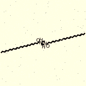 CCC=CCC=CCC=CCC=CCC=CCC=CCCC(=O)N1C[C@@H]2C[C@H]1CN2C(=O)CCC=CCC=CCC=CCC=CCC=CCC=CCC